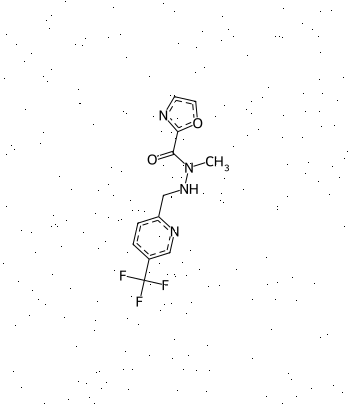 CN(NCc1ccc(C(F)(F)F)cn1)C(=O)c1ncco1